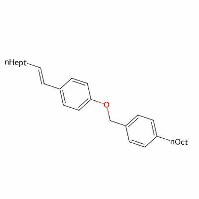 CCCCCCCC=Cc1ccc(OCc2ccc(CCCCCCCC)cc2)cc1